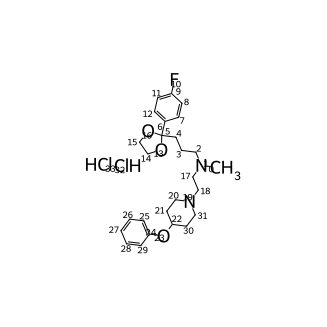 CN(CCCC1(c2ccc(F)cc2)OCCO1)CCN1CCC(Oc2ccccc2)CC1.Cl.Cl